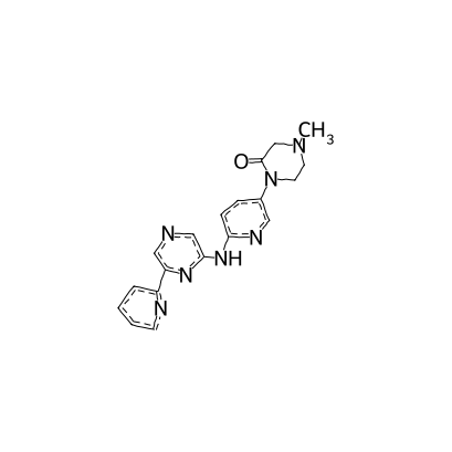 CN1CCN(c2ccc(Nc3cncc(-c4ccccn4)n3)nc2)C(=O)C1